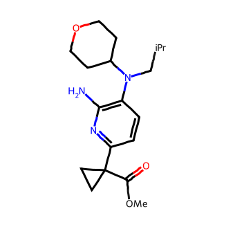 COC(=O)C1(c2ccc(N(CC(C)C)C3CCOCC3)c(N)n2)CC1